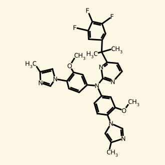 COc1cc(N(c2ccc(-n3cnc(C)c3)c(OC)c2)c2nccc(C(C)(C)c3cc(F)c(F)c(F)c3)n2)ccc1-n1cnc(C)c1